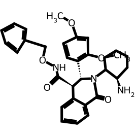 COc1ccc([C@H]2[C@H](C(=O)NOCc3ccccc3)c3ccccc3C(=O)N2C2CCCC[C@H]2N)c(OC)c1